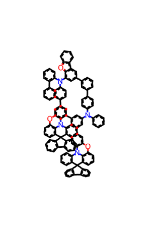 c1ccc(-c2cc(-c3ccc4c(c3)Oc3cccc5c3N4c3ccccc3C53c4ccccc4-c4ccccc43)cc(N(c3ccccc3)c3ccc(-c4cccc(-c5cc(N(c6ccc(-c7ccc8c(c7)Oc7cccc9c7N8c7ccccc7C97c8ccccc8-c8ccccc87)cc6)c6ccccc6-c6ccccc6)c6oc7ccccc7c6c5)c4)cc3)c2)cc1